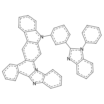 c1ccc(-n2c(-c3cccc(-n4c5ccccc5c5cc6c7ccccc7c7nc8ccccc8n7c6cc54)c3)nc3ccccc32)cc1